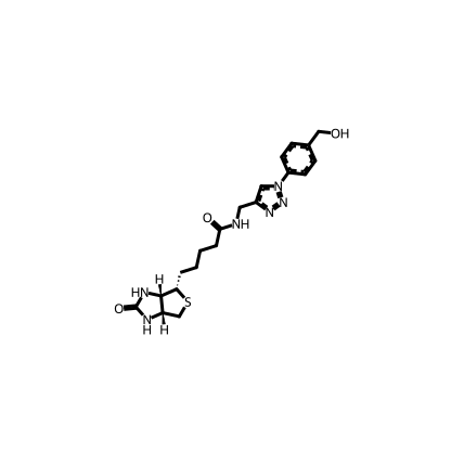 O=C(CCCC[C@@H]1SC[C@@H]2NC(=O)N[C@@H]21)NCc1cn(-c2ccc(CO)cc2)nn1